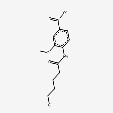 COc1cc([N+](=O)[O-])ccc1NC(=O)CCCCCl